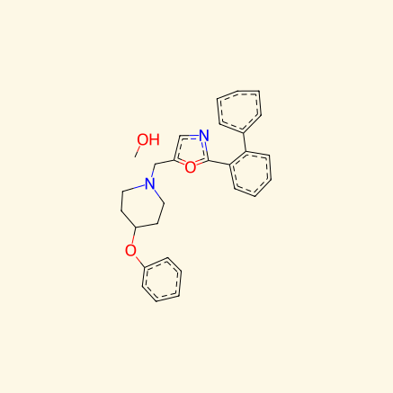 CO.c1ccc(OC2CCN(Cc3cnc(-c4ccccc4-c4ccccc4)o3)CC2)cc1